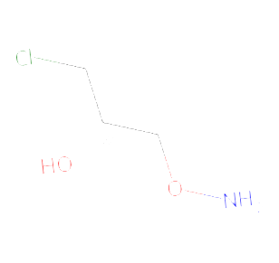 NOC[C@H](O)CCl